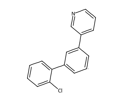 Clc1ccccc1-c1c[c]cc(-c2cccnc2)c1